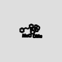 COc1ccc(C2(c3cccc(CCc4ccccc4)n3)OCCCO2)cc1OC